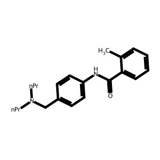 CCCN(CCC)Cc1ccc(NC(=O)c2ccccc2C)cc1